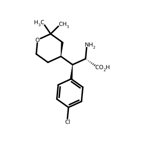 CC1(C)C[C@@H]([C@H](c2ccc(Cl)cc2)[C@H](N)C(=O)O)CCO1